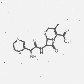 CC1=C(C(=O)O)N2C(=O)C(NC(=O)C(N)C3=CSCCS3)C2SC1